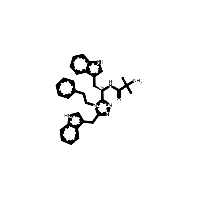 CC(C)(N)C(=O)N[C@H](Cc1c[nH]c2ccccc12)c1nnc(Cc2c[nH]c3ccccc23)n1CCc1ccccc1